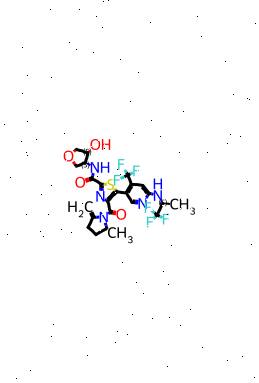 C=C1CCC(C)N1C(=O)c1nc(C(=O)N[C@H]2COC[C@H]2O)sc1-c1cnc(N[C@@H](C)C(F)(F)F)cc1C(F)(F)F